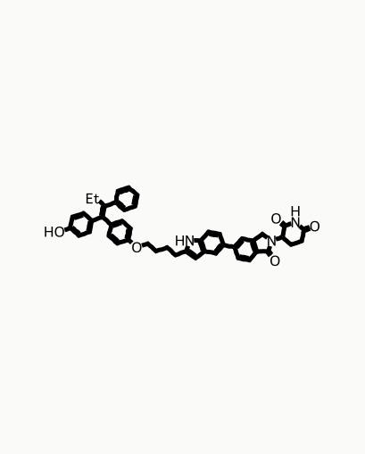 CCC(=C(c1ccc(O)cc1)c1ccc(OCCCCc2cc3cc(-c4ccc5c(c4)CN(C4CCC(=O)NC4=O)C5=O)ccc3[nH]2)cc1)c1ccccc1